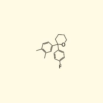 Cc1ccc(C2(c3ccc(F)cc3)CCCCO2)cc1C